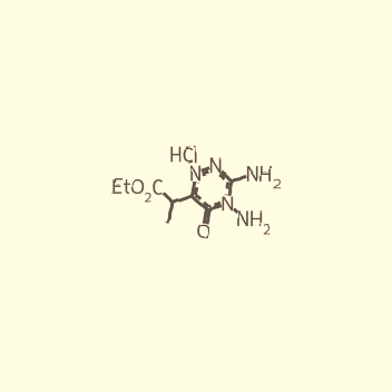 CCOC(=O)C(C)c1nnc(N)n(N)c1=O.Cl